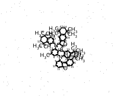 Cc1cc2c3c(c1)N(c1cccc4oc5ccc(C(C)(C)C)cc5c14)c1ccc(C(C)(C)C)cc1B3c1oc3cc4c(cc3c1N2c1ccc2c(c1)C(C)(C)CCC2(C)C)C(C)(C)CCC4(C)C